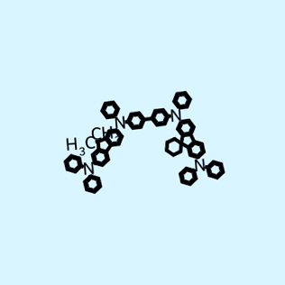 CC1(C)c2cc(N(c3ccccc3)c3ccccc3)ccc2-c2ccc(N(c3ccccc3)c3ccc(-c4ccc(N(c5ccccc5)c5ccc6c(c5)C5(CCCCC5)c5cc(N(c7ccccc7)c7ccccc7)ccc5-6)cc4)cc3)cc21